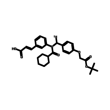 [2H]C(c1ccc(OCC(=O)OC(C)(C)C)cc1)N(C(=O)C1CCCCC1)c1cccc(/C=C/C(=O)O)c1